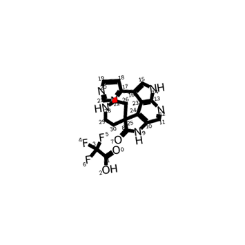 O=C(O)C(F)(F)F.O=C1Nc2cnc3[nH]cc(-c4ccncn4)c3c2C12CCNCC2